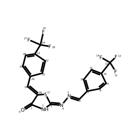 O=C1NC(=NN=Cc2ccc(C(F)(F)F)cc2)SC1=Cc1ccc(C(F)(F)F)cc1